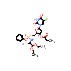 CCOC(OCC)C(C)NP(=O)(OC[C@H]1O[C@@H](n2cc(F)c(=O)[nH]c2=O)C[C@@H]1OC(=O)CC)Oc1ccccc1